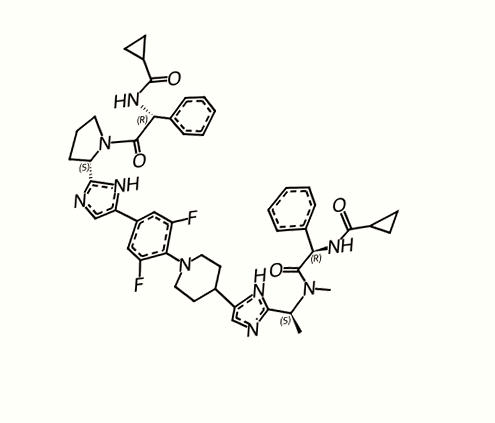 C[C@@H](c1ncc(C2CCN(c3c(F)cc(-c4cnc([C@@H]5CCCN5C(=O)[C@H](NC(=O)C5CC5)c5ccccc5)[nH]4)cc3F)CC2)[nH]1)N(C)C(=O)[C@H](NC(=O)C1CC1)c1ccccc1